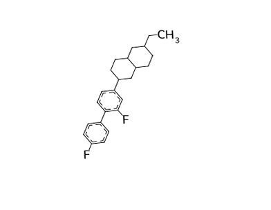 CCC1CCC2CC(c3ccc(-c4ccc(F)cc4)c(F)c3)CCC2C1